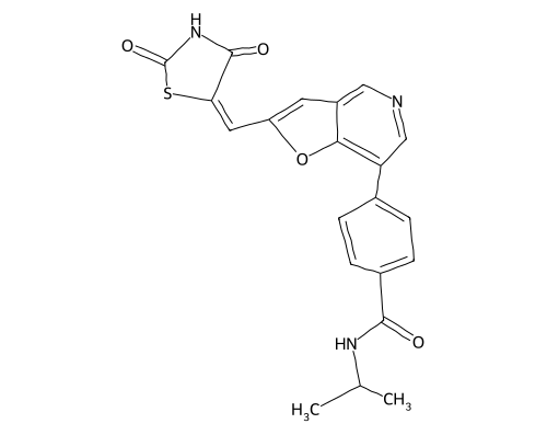 CC(C)NC(=O)c1ccc(-c2cncc3cc(/C=C4/SC(=O)NC4=O)oc23)cc1